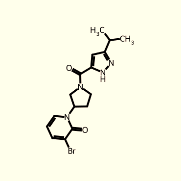 CC(C)c1cc(C(=O)N2CCC(n3cccc(Br)c3=O)C2)[nH]n1